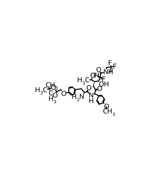 COc1ccc([C@H](NC(=O)[C@@H](N)Cc2ccc(OCC(=O)OC(C)(C)C)cc2)C(=O)C[C@@H](C(C)C)[C@@H](O)C(F)(F)C(=O)NCC(F)(F)F)cc1